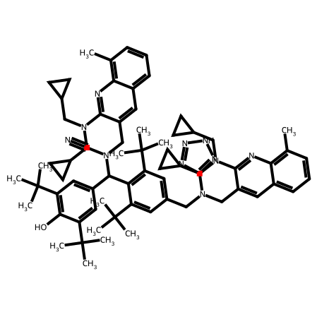 Cc1cccc2cc(CN(Cc3cc(C(C)(C)C)c(C(c4cc(C(C)(C)C)c(O)c(C(C)(C)C)c4)N(C#N)Cc4cc5cccc(C)c5nc4N(CC4CC4)CC4CC4)c(C(C)(C)C)c3)c3nn[nH]n3)c(N(CC3CC3)CC3CC3)nc12